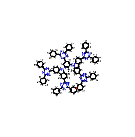 FC(F)(F)c1c(-n2c3ccc(-c4nc(-c5ccccc5)nc(-c5ccccc5)n4)cc3c3cc(-c4nc(-c5ccccc5)nc(-c5ccccc5)n4)ccc32)cc(-c2nc(-c3ccccc3)nc(-c3ccccc3)n2)cc1-n1c2ccc(-c3nc(-c4ccccc4)nc(-c4ccccc4)n3)cc2c2cc(-c3nc(-c4ccccc4)nc(-c4ccccc4)n3)ccc21